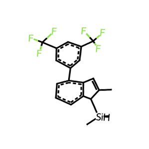 CC1=Cc2c(-c3cc(C(F)(F)F)cc(C(F)(F)F)c3)cccc2C1[SiH](C)C